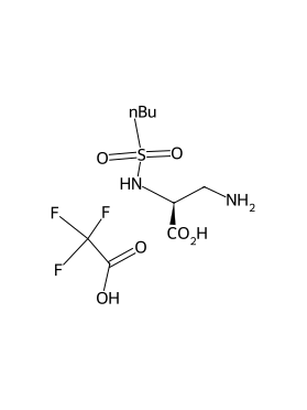 CCCCS(=O)(=O)N[C@@H](CN)C(=O)O.O=C(O)C(F)(F)F